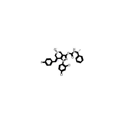 C[C@@H](NC(=O)Oc1nn(-c2ccc(Cl)cc2Cl)c2c1C[S+]([O-])C/C2=C\c1ccc(F)cc1)c1ccccc1